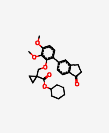 COc1ccc(-c2ccc3c(c2)CCC3=O)c(OCC2(C(=O)OC3CCCCC3)CC2)c1OC